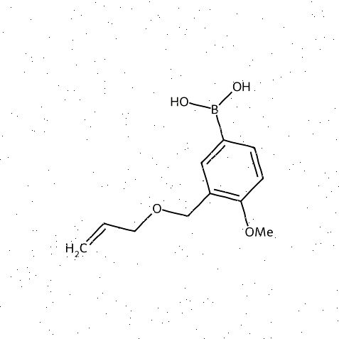 C=CCOCc1cc(B(O)O)ccc1OC